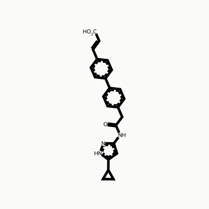 O=C(O)/C=C/c1ccc(-c2ccc(CC(=O)Nc3cc(C4CC4)[nH]n3)cc2)cc1